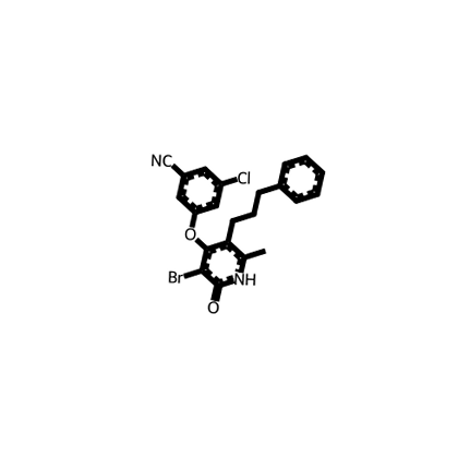 Cc1[nH]c(=O)c(Br)c(Oc2cc(Cl)cc(C#N)c2)c1CCCc1ccccc1